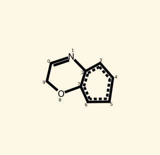 C1=Nc2ccccc2OC1